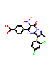 Cc1nn2c(=O)c([N+](=O)[O-])c(-c3ccc(C(=O)O)cc3)[nH]c2c1-c1ccc(Cl)cc1Cl